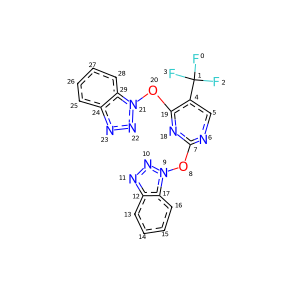 FC(F)(F)c1cnc(On2nnc3ccccc32)nc1On1nnc2ccccc21